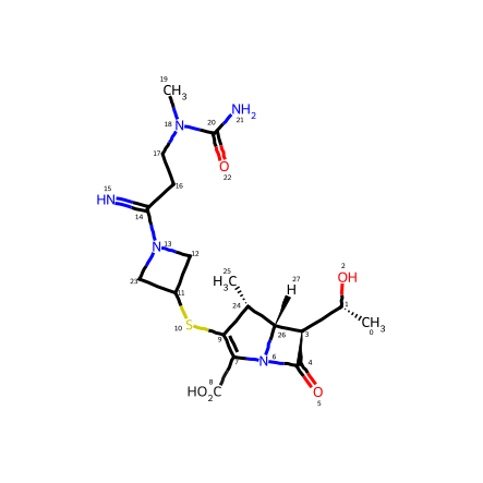 C[C@@H](O)[C@H]1C(=O)N2C(C(=O)O)=C(SC3CN(C(=N)CCN(C)C(N)=O)C3)[C@H](C)[C@H]12